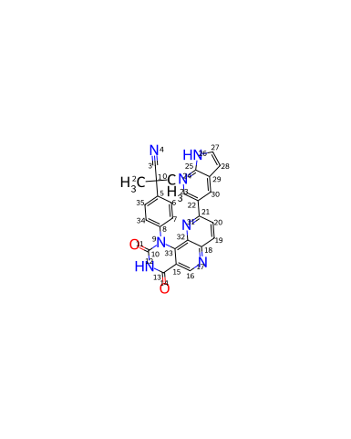 CC(C)(C#N)c1ccc(-n2c(=O)[nH]c(=O)c3cnc4ccc(-c5cnc6[nH]ccc6c5)nc4c32)cc1